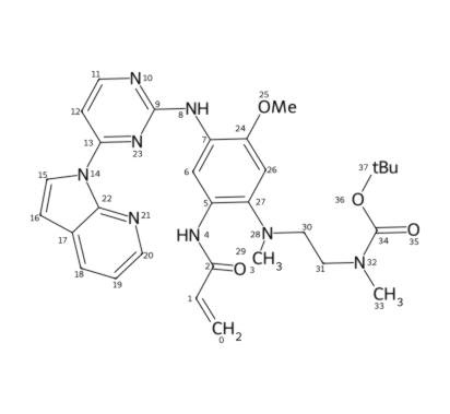 C=CC(=O)Nc1cc(Nc2nccc(-n3ccc4cccnc43)n2)c(OC)cc1N(C)CCN(C)C(=O)OC(C)(C)C